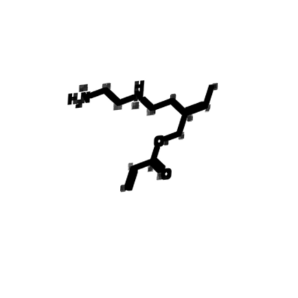 C=CC(=O)OC/C(=C/C)CCNCCN